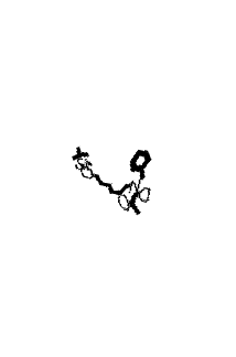 CC1OC(CCCCO[Si](C)(C)C(C)(C)C)CN(Cc2ccccc2)C1=O